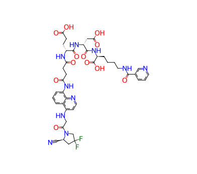 N#C[C@@H]1CC(F)(F)CN1C(=O)CNc1ccnc2c(NC(=O)CCC(=O)N[C@H](CCC(=O)O)C(=O)N[C@H](CC(=O)O)C(=O)N[C@@H](CCCCNC(=O)c3cccnc3)C(=O)O)cccc12